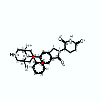 O=C1CCC(N2Cc3cc(C4C[C@H]5CNC[C@@H](C4)N5Cc4ccccc4)ccc3C2=O)C(=O)N1